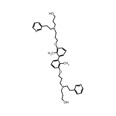 Cc1c(OCCCN(CCCO)CCc2cccnc2)cccc1-c1cccc(OCCCN(CCCO)CCc2cccnc2)c1C